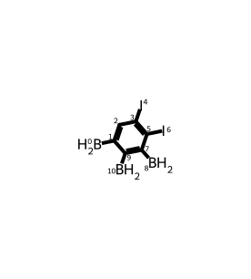 Bc1cc(I)c(I)c(B)c1B